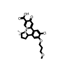 COCCCOc1cc2c(cc1Cl)-c1cc(=O)c(C(=O)O)cn1N1C2CC[C@@H]1C